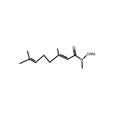 CON(C)C(=O)/C=C(\C)CCC=C(C)C